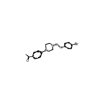 CC(=O)c1ccc(N2CCN(N=Nc3ccc(Br)cc3)CC2)cc1